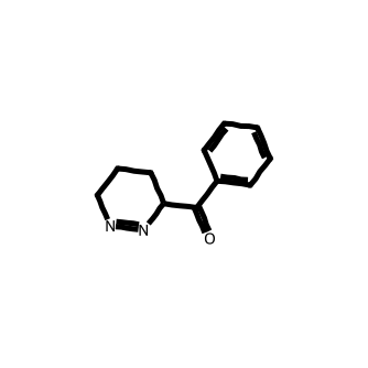 O=C(c1ccccc1)C1CCCN=N1